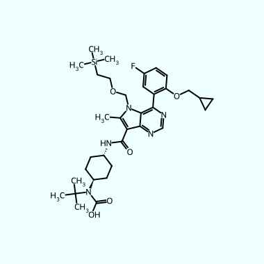 Cc1c(C(=O)N[C@H]2CC[C@H](N(C(=O)O)C(C)(C)C)CC2)c2ncnc(-c3cc(F)ccc3OCC3CC3)c2n1COCC[Si](C)(C)C